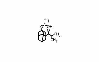 CC(C)C(=O)C12CC3CC(CC(ON(O)O)(C3)C1)C2